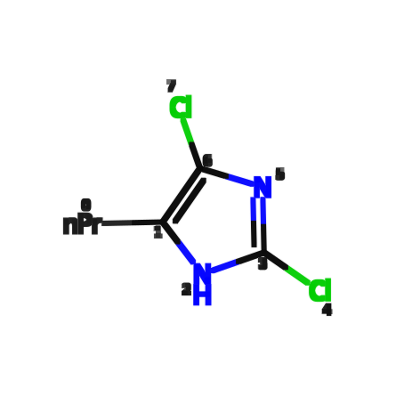 CCCc1[nH]c(Cl)nc1Cl